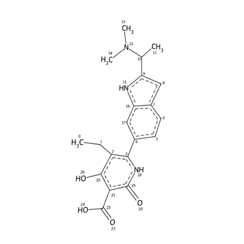 CCc1c(-c2ccc3cc(C(C)N(C)C)[nH]c3c2)[nH]c(=O)c(C(=O)O)c1O